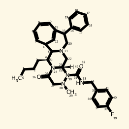 CCCC[C@H]1C2C3C=CC=CC(=C3)C(c3ccccc3)CN2C[C@H]2N1C(=O)CN(C)N2C(=O)NCc1ccc(F)cc1